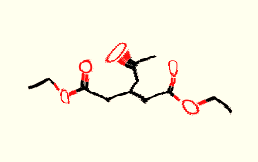 CCOC(=O)CC(CC(=O)OCC)C(C)=O